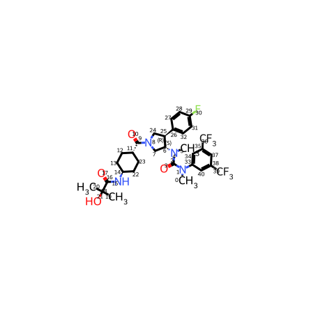 CN(C(=O)N(C)[C@@H]1CN(C(=O)[C@H]2CC[C@H](NC(=O)C(C)(C)O)CC2)C[C@H]1c1ccc(F)cc1)c1cc(C(F)(F)F)cc(C(F)(F)F)c1